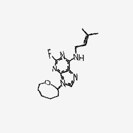 CC(C)=CCNc1nc(F)nc2c1ncn2C1CCCCCO1